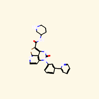 O=C(NC1CCCNC1)c1sc2nccc3c2c1NC(=O)N3c1cccc(-c2ccccn2)c1